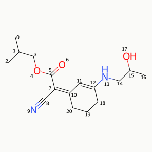 CC(C)COC(=O)/C(C#N)=C1\C=C(NCC(C)O)CCC1